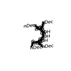 CCCCCCCCCCCCCC(=O)OCC(COP(=O)(O)OCC(O)COP(=O)(O)OCC(COC(=O)CCCCCCCCCCCCC)OC(=O)CCCCCCCCCCCCC)OC(=O)CCCCCCCCCCCCC